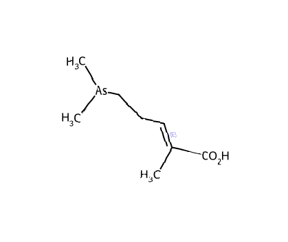 C/C(=C\CC[As](C)C)C(=O)O